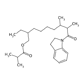 CCC(CCCCC(C)C(C)C(=O)N1CCc2ccccc21)COC(=O)C(C)C